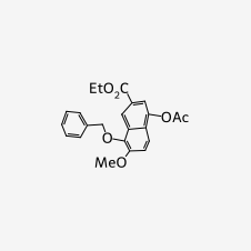 CCOC(=O)c1cc(OC(C)=O)c2ccc(OC)c(OCc3ccccc3)c2c1